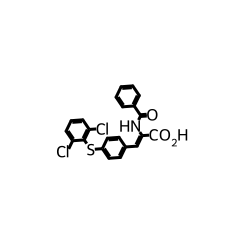 O=C(O)/C(=C/c1ccc(Sc2c(Cl)cccc2Cl)cc1)NC(=O)c1ccccc1